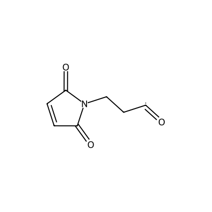 O=[C]CCN1C(=O)C=CC1=O